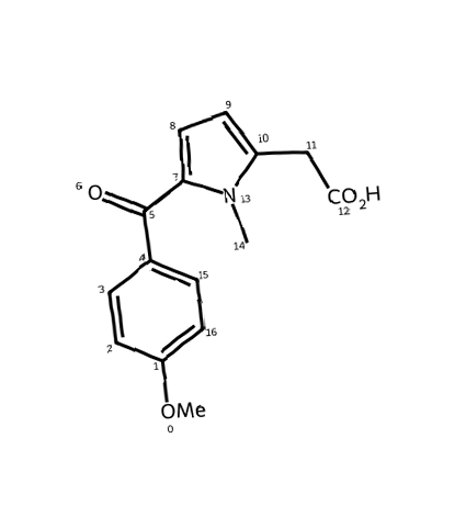 COc1ccc(C(=O)c2ccc(CC(=O)O)n2C)cc1